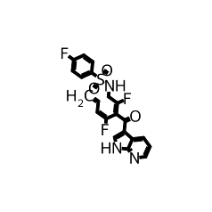 C=C/C=C(F)\C(C(=O)c1c[nH]c2ncccc12)=C(\F)CNS(=O)(=O)c1ccc(F)cc1